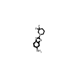 Nc1ccc2sc(N3CCCC(F)(F)C3)nc2c1